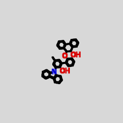 Cc1cc(-c2ccccc2OC2c3ccccc3-c3ccccc3[C@H]2O)c(O)c(-n2c3ccccc3c3ccccc32)c1